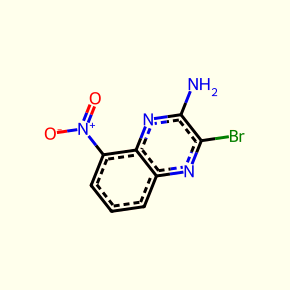 Nc1nc2c([N+](=O)[O-])cccc2nc1Br